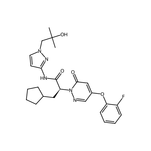 CC(C)(O)Cn1ccc(NC(=O)[C@H](CC2CCCC2)n2ncc(Oc3ccccc3F)cc2=O)n1